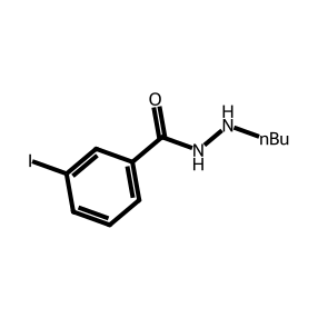 CCCCNNC(=O)c1cccc(I)c1